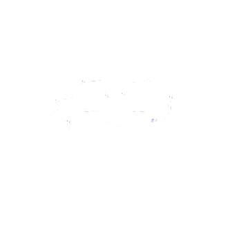 CC(Oc1ncnc2nc[nH]c12)c1ncnc2nc[nH]c12